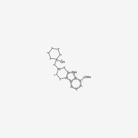 COc1cccc2c3c([nH]c12)CN(CC1(O)CCCCC1)CC3